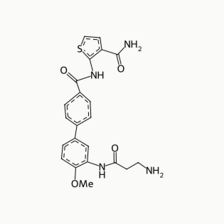 COc1ccc(-c2ccc(C(=O)Nc3sccc3C(N)=O)cc2)cc1NC(=O)CCN